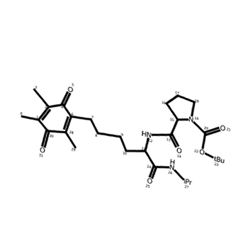 CC1=C(C)C(=O)C(CCCCC(NC(=O)C2CCCN2C(=O)OC(C)(C)C)C(=O)NC(C)C)=C(C)C1=O